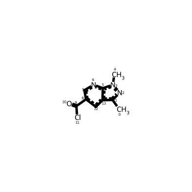 Cc1nn(C)c2ncc(C(=O)Cl)cc12